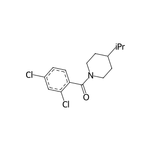 CC(C)C1CCN(C(=O)c2ccc(Cl)cc2Cl)CC1